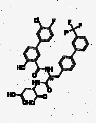 O=C(O)CC(NC(=O)[C@H](Cc1ccc(-c2cccc(C(F)(F)F)c2)cc1)NC(=O)c1cc(-c2ccc(F)c(Cl)c2)ccc1O)C(=O)O